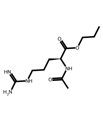 CCCOC(=O)[C@H](CCCNC(=N)N)NC(C)=O